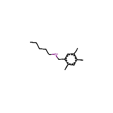 CCCCCPCc1cc(C)c(C)cc1C